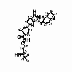 Cc1cc(-c2ccc3c(n2)N(Cc2ccc4ncccc4c2)NN3)ccc1C(=O)NOCCOC(=N)C(C)(C)C